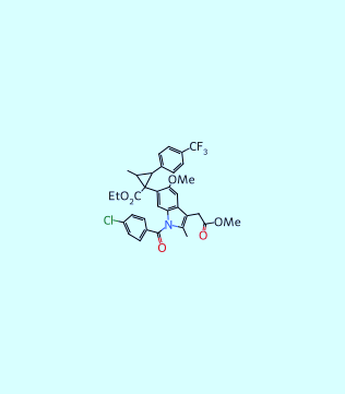 CCOC(=O)C1(c2cc3c(cc2OC)c(CC(=O)OC)c(C)n3C(=O)c2ccc(Cl)cc2)C(C)C1c1ccc(C(F)(F)F)cc1